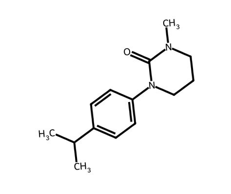 CC(C)c1ccc(N2CCCN(C)C2=O)cc1